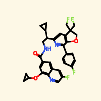 O=C(NCC(c1cc2c(c(-c3ccc(F)cc3)n1)OCC2(CF)CF)C1CC1)c1cc(OC2CC2)c2ncc(F)cc2c1